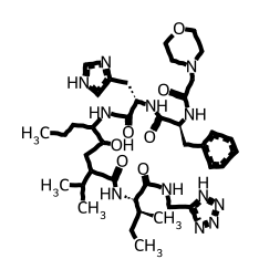 CCCC(NC(=O)[C@H](Cc1c[nH]cn1)NC(=O)[C@H](Cc1ccccc1)NC(=O)CN1CCOCC1)C(O)CC(C(=O)N[C@H](C(=O)NCc1nnn[nH]1)[C@@H](C)CC)C(C)C